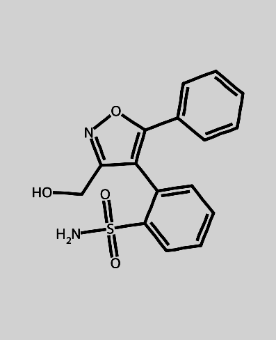 NS(=O)(=O)c1ccccc1-c1c(CO)noc1-c1ccccc1